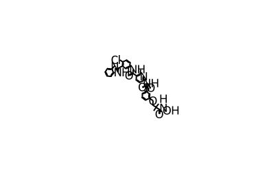 Cc1nc(NS(=O)(=O)c2cccc(OCC(C)(C)C(=O)NO)c2)ccc1C(=O)Nc1ccc(Cl)c(-c2nc3ccccc3[nH]2)c1